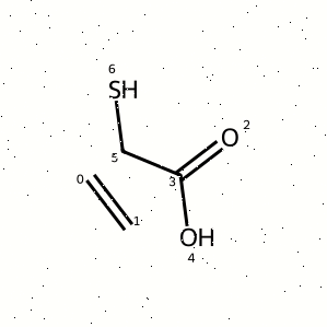 C=C.O=C(O)CS